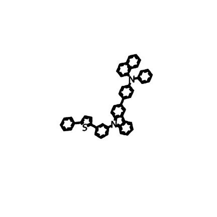 c1ccc(-c2ccc(-c3cccc(-n4c5ccccc5c5cc(-c6ccc(N(c7ccccc7)c7cccc8ccccc78)cc6)ccc54)c3)s2)cc1